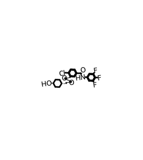 O=C(Nc1cc(F)c(F)c(F)c1)c1ccc(Cl)c(S(=O)(=O)C[C@H]2CC[C@@H](O)CC2)c1